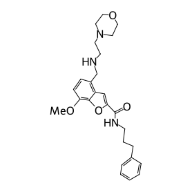 COc1ccc(CNCCN2CCOCC2)c2cc(C(=O)NCCCc3ccccc3)oc12